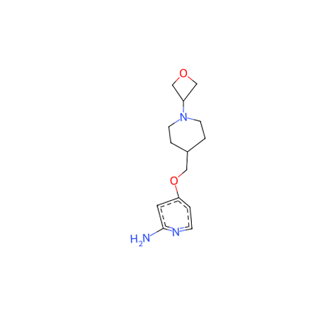 Nc1cc(OCC2CCN(C3COC3)CC2)ccn1